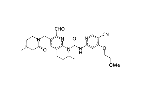 COCCOc1cc(NC(=O)N2c3nc(C=O)c(CN4CCN(C)CC4=O)cc3CCC2C)ncc1C#N